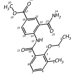 CCOc1c(C)cccc1C(=O)Nc1ccc(C(=O)OC)cc1C(N)=O